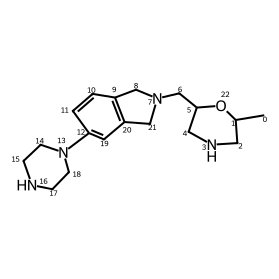 CC1CNCC(CN2Cc3ccc(N4CCNCC4)cc3C2)O1